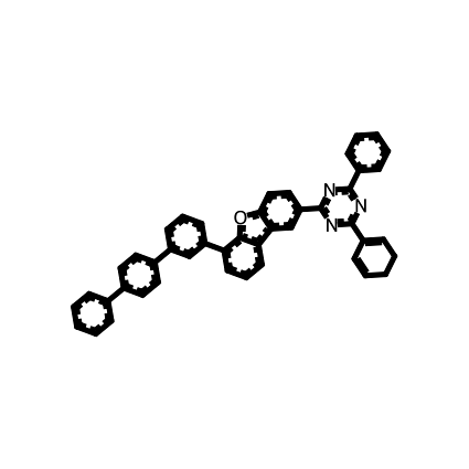 C1=CC(c2nc(-c3ccccc3)nc(-c3ccc4oc5c(-c6cccc(-c7ccc(-c8ccccc8)cc7)c6)cccc5c4c3)n2)=CCC1